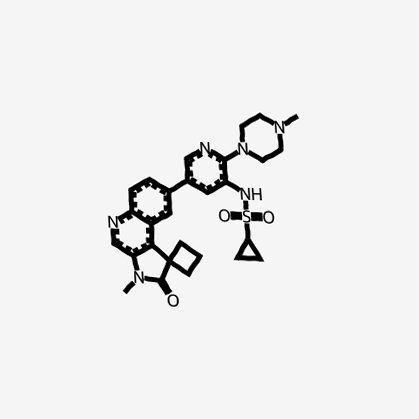 CN1CCN(c2ncc(-c3ccc4ncc5c(c4c3)C3(CCC3)C(=O)N5C)cc2NS(=O)(=O)C2CC2)CC1